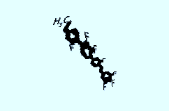 CCCc1ccc(-c2ccc(-c3ccc(CCc4cc(F)c(F)c(F)c4)c(F)c3)c(F)c2F)c(F)c1